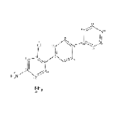 Nc1cc(Cl)c(-c2ccc(-c3ccccc3)cc2)cc1N